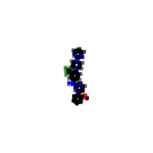 COc1ccccc1-c1ccnc(Nc2ccc(N3CCN(c4ncccn4)CC3)c(C(F)(F)F)c2)n1